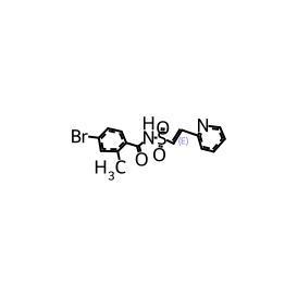 Cc1cc(Br)ccc1C(=O)NS(=O)(=O)/C=C/c1ccccn1